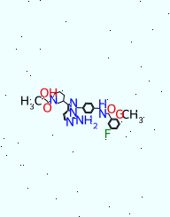 COc1ccc(F)cc1C(=O)NCc1ccc(-c2nc(C3CCCN(C(=O)[C@@H](C)O)C3)c3ccnc(N)n23)cc1